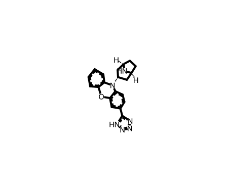 c1ccc2c(c1)Oc1cc(-c3nnn[nH]3)ccc1N2[C@@H]1C[C@H]2CC[C@@H](C1)N2